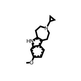 COc1ccc2c3c([nH]c2c1)CCN(C1CC1)CC3